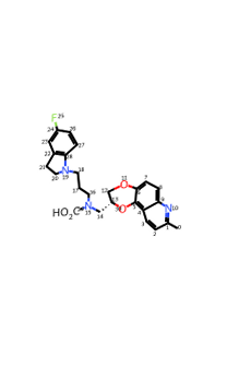 Cc1ccc2c3c(ccc2n1)OC[C@@H](CN(CCCN1CCc2cc(F)ccc21)C(=O)O)O3